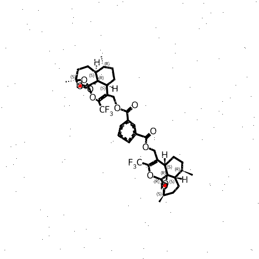 C[C@@H]1CC[C@H]2C(COC(=O)c3cccc(C(=O)OCC4=C(C(F)(F)F)O[C@@H]5O[C@]6(C)CC[C@H]7[C@H](C)CC[C@@H]4[C@@]57OO6)c3)=C(C(F)(F)F)O[C@@H]3O[C@]4(C)CC[C@@H]1[C@]32OO4